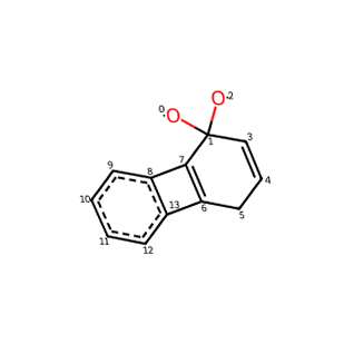 [O]C1([O])C=CCC2=C1c1ccccc12